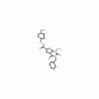 Cn1c(=O)n(Cc2ccccc2)c(=O)c2cc(C(=O)OCc3ccc(O)cc3)sc21